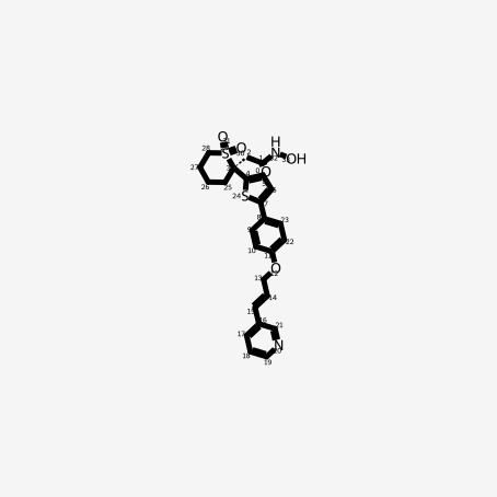 O=C(C[C@]1(c2ccc(-c3ccc(OCC=Cc4cccnc4)cc3)s2)CCCCS1(=O)=O)NO